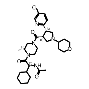 CC(=O)N[C@H](C(=O)N1CCN(C(=O)[C@@H]2CN(C3CCOCC3)C[C@H]2c2ccc(Cl)cn2)C[C@H]1C)C1CCCCC1